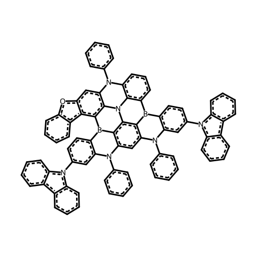 c1ccc(N2c3cc(-n4c5ccccc5c5ccccc54)ccc3B3c4cccc5c4N4c6c3c2cc2c6B(c3ccc(-n6c7ccccc7c7ccccc76)cc3N2c2ccccc2)c2c4c(cc3oc4ccccc4c23)N5c2ccccc2)cc1